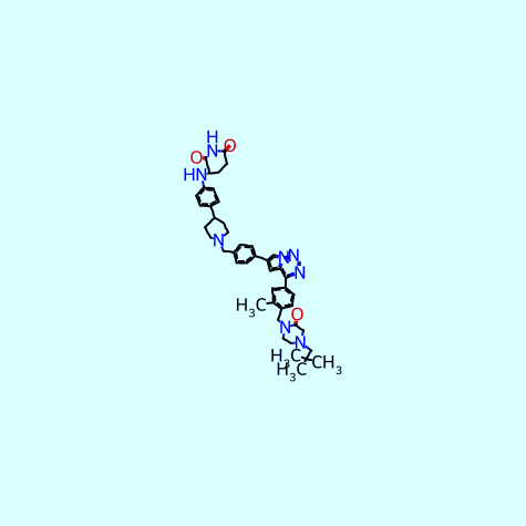 Cc1cc(-c2ncnn3cc(-c4ccc(CN5CCC(c6ccc(NC7CCC(=O)NC7=O)cc6)CC5)cc4)cc23)ccc1CN1CCN(CC(C)(C)C)CC1=O